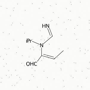 C/C=C(/C=O)N(C=N)C(C)C